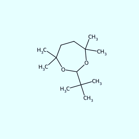 CC1(C)CCC(C)(C)OC(C(C)(C)C)O1